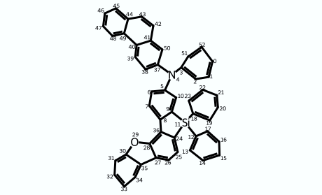 c1ccc(N(c2ccc3c(c2)[Si](c2ccccc2)(c2ccccc2)c2ccc4c(oc5ccccc54)c2-3)c2ccc3c(ccc4ccccc43)c2)cc1